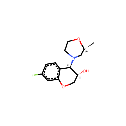 C[C@@H]1CN([C@@H]2c3ccc(F)cc3OC[C@H]2O)CCO1